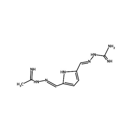 CC(=N)N/N=C/c1ccc(/C=N/NC(=N)N)[nH]1